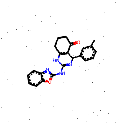 Cc1cccc(C2N=C(Nc3nc4ccccc4o3)NC3=C2C(=O)CCC3)c1